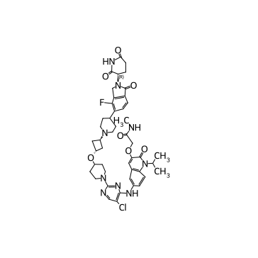 CNC(=O)COc1cc2cc(Nc3nc(N4CCC(O[C@H]5C[C@H](N6CCC(c7ccc8c(c7F)CN([C@@H]7CCC(=O)NC7=O)C8=O)CC6)C5)CC4)ncc3Cl)ccc2n(C(C)C)c1=O